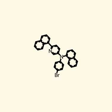 Brc1ccc(N(c2ccc(-c3cccc4ccccc34)nc2)c2cccc3ccccc23)cc1